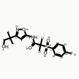 CC(C)(CO)c1cc(NC(=O)C(C)(C)S(=O)(=O)c2ccc(F)cc2)on1